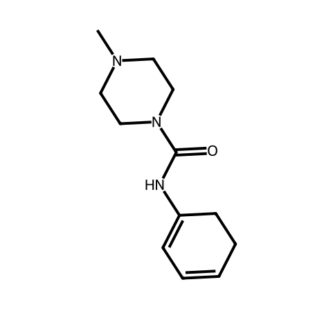 CN1CCN(C(=O)NC2=CC=CCC2)CC1